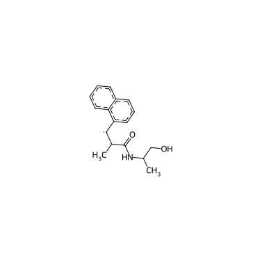 CC(CO)NC(=O)C(C)[CH]c1cccc2ccccc12